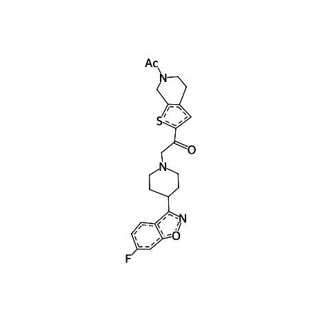 CC(=O)N1CCc2cc(C(=O)CN3CCC(c4noc5cc(F)ccc45)CC3)sc2C1